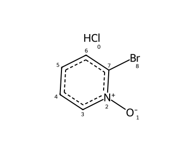 Cl.[O-][n+]1ccccc1Br